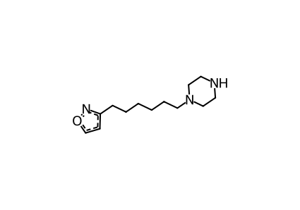 c1cc(CCCCCCN2CCNCC2)no1